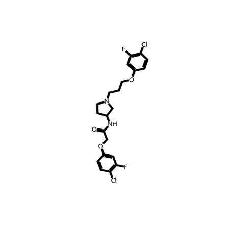 O=C(COc1ccc(Cl)c(F)c1)NC1CCN(CCCOc2ccc(Cl)c(F)c2)C1